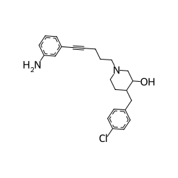 Nc1cccc(C#CCCCN2CCC(Cc3ccc(Cl)cc3)C(O)C2)c1